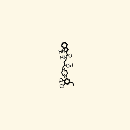 CCc1cc(Cl)c(OC)c(N2CCN(CC(O)CCNC(=O)c3cc4ccccc4[nH]3)CC2)c1